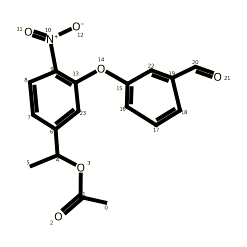 CC(=O)OC(C)c1ccc([N+](=O)[O-])c(Oc2cccc(C=O)c2)c1